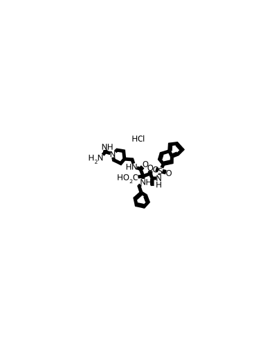 CC(NS(=O)(=O)c1ccc2ccccc2c1)C(=O)C(NCc1ccccc1)(C(=O)O)C(=O)NCC1CCN(C(=N)N)CC1.Cl